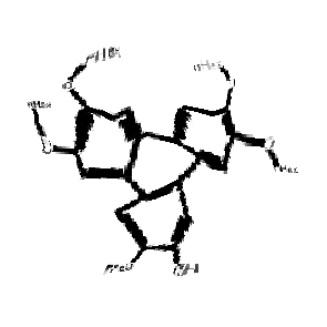 CCCCCCOc1cc2c3cc(O)c(OC)cc3c3cc(OCCCCCC)c(OCCCCCC)cc3c2cc1OCCCCCC